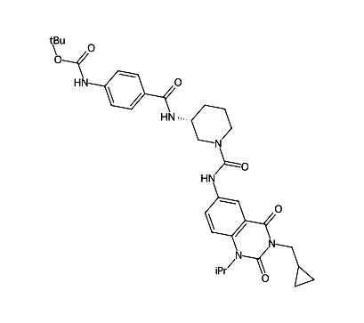 CC(C)n1c(=O)n(CC2CC2)c(=O)c2cc(NC(=O)N3CCC[C@@H](NC(=O)c4ccc(NC(=O)OC(C)(C)C)cc4)C3)ccc21